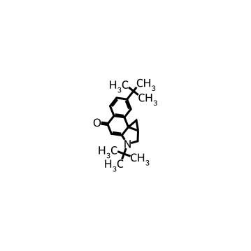 CC(C)(C)c1ccc2c(c1)C13CC1CN(C(C)(C)C)C3=CC2=O